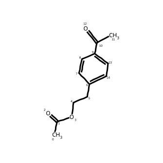 CC(=O)OCCc1ccc(C(C)=O)cc1